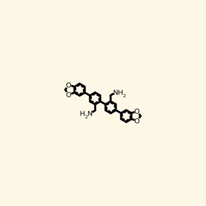 NCc1cc(-c2ccc3c(c2)OCO3)ccc1-c1ccc(-c2ccc3c(c2)OCO3)cc1CN